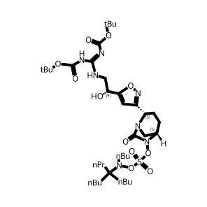 CCCCN(OS(=O)(=O)ON1C(=O)N2C[C@@H]1CC[C@H]2c1cc([C@H](O)CNC(=NC(=O)OC(C)(C)C)NC(=O)OC(C)(C)C)on1)C(CCC)(CCCC)CCCC